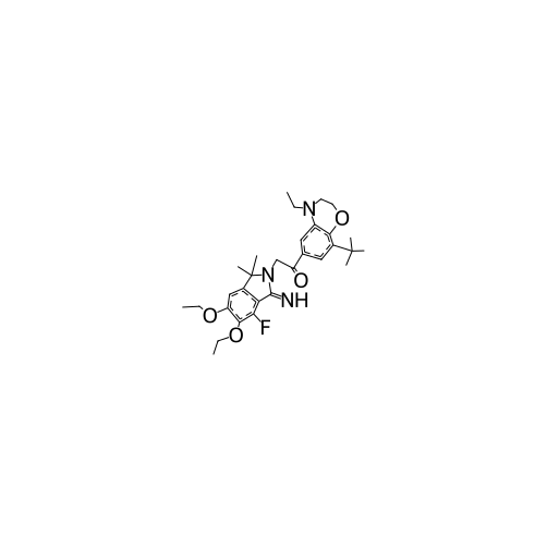 CCOc1cc2c(c(F)c1OCC)C(=N)N(CC(=O)c1cc3c(c(C(C)(C)C)c1)OCCN3CC)C2(C)C